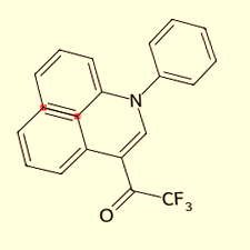 O=C(/C(=C/N(c1ccccc1)c1ccccc1)c1ccccc1)C(F)(F)F